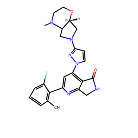 CN1CCO[C@@H]2CN(c3ccn(-c4cc(-c5c(F)cccc5C#N)nc5c4C(=O)NC5)n3)CC21